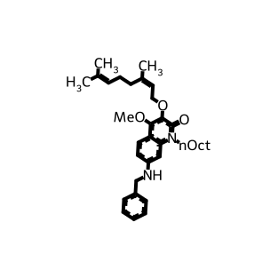 CCCCCCCCn1c(=O)c(OCC=C(C)CCC=C(C)C)c(OC)c2ccc(NCc3ccccc3)cc21